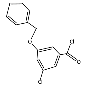 O=C(Cl)c1cc(Cl)cc(OCc2ccccc2)c1